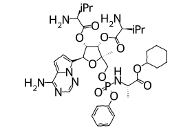 CC(C)[C@H](N)C(=O)O[C@H]1[C@H](c2ccc3c(N)ncnn23)O[C@](C)(COP(=O)(N[C@@H](C)C(=O)OC2CCCCC2)Oc2ccccc2)[C@H]1OC(=O)[C@@H](N)C(C)C